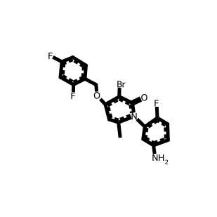 Cc1cc(OCc2ccc(F)cc2F)c(Br)c(=O)n1-c1cc(N)ccc1F